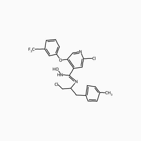 Cc1ccc(CC(CCl)N=C(NO)c2cc(Cl)ncc2Oc2cccc(C(F)(F)F)c2)cc1